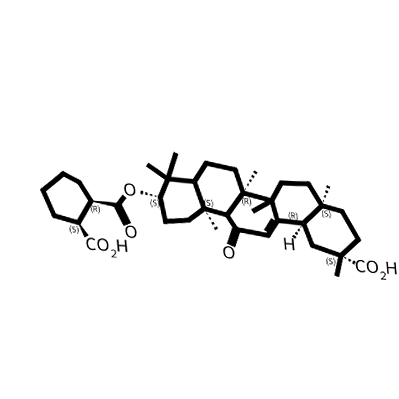 CC1(C)C2CC[C@]3(C)C(C(=O)C=C4[C@@H]5C[C@@](C)(C(=O)O)CC[C@]5(C)CCC43C)[C@@]2(C)CC[C@@H]1OC(=O)[C@@H]1CCCC[C@@H]1C(=O)O